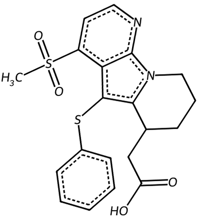 CS(=O)(=O)c1ccnc2c1c(Sc1ccccc1)c1n2CCCC1CC(=O)O